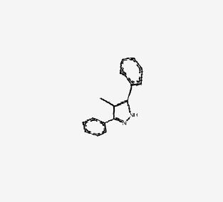 CC1C(c2ccccc2)=NNC1c1ccccc1